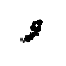 NS(=O)(=O)c1ccc(CNC(=O)N2CC34C=C(CCC3)COCc3ccccc3-c3ccc2c4c3)cc1